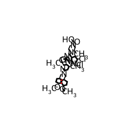 COc1ccc(CN(Cc2ccc(OC)cc2)c2cc(C)c(-n3c(=O)nc(N4CCN(C(=O)O)CC4C)c4cc(Cl)c(Cl)nc43)c(C(C)C)n2)cc1